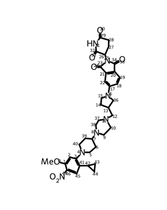 COc1cc(N2CCC(N3CCN(CC4CCN(c5ccc6c(c5)C(=O)N(C5CCC(=O)NC5=O)C6=O)C4)CC3)CC2)c(C2CC2)cc1[N+](=O)[O-]